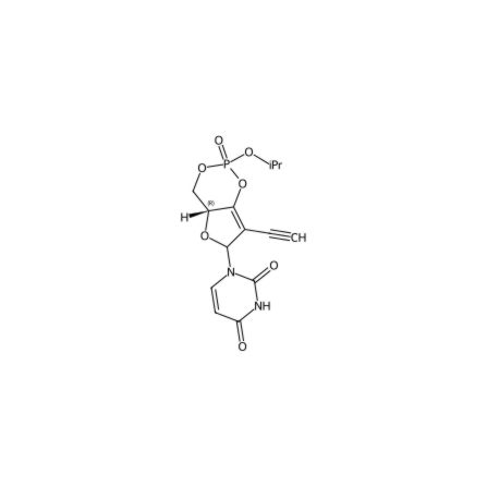 C#CC1=C2OP(=O)(OC(C)C)OC[C@H]2OC1n1ccc(=O)[nH]c1=O